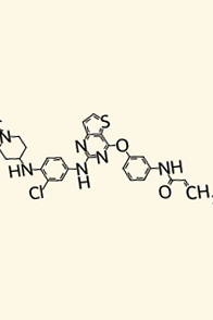 C=CC(=O)Nc1cccc(Oc2nc(Nc3ccc(NC4CCN(C)CC4)c(Cl)c3)nc3ccsc23)c1